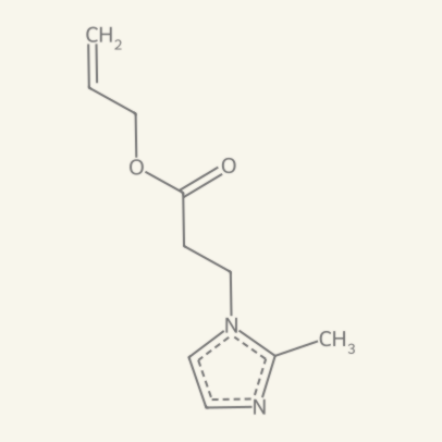 C=CCOC(=O)CCn1ccnc1C